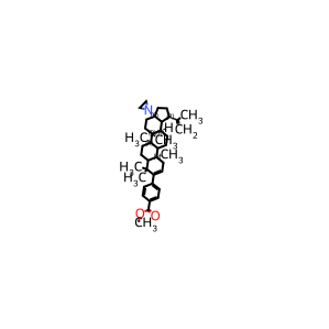 C=C(C)[C@@H]1CC[C@]2(N3CC3)CC[C@]3(C)[C@H](CCC4[C@@]5(C)CC=C(c6ccc(C(=O)OC)cc6)C(C)(C)C5CC[C@]43C)C12